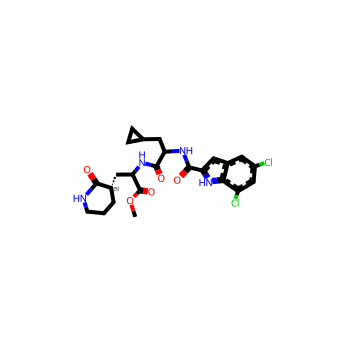 COC(=O)C(C[C@@H]1CCCNC1=O)NC(=O)C(CC1CC1)NC(=O)c1cc2cc(Cl)cc(Cl)c2[nH]1